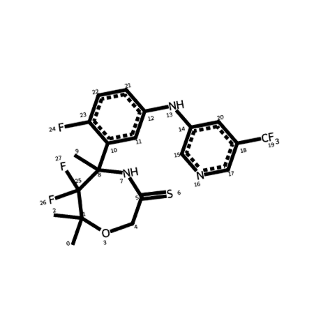 CC1(C)OCC(=S)NC(C)(c2cc(Nc3cncc(C(F)(F)F)c3)ccc2F)C1(F)F